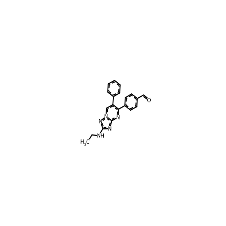 CCNc1nc2nc(-c3ccc(C=O)cc3)c(-c3ccccc3)cn2n1